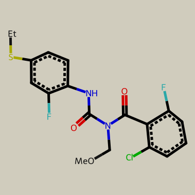 CCSc1ccc(NC(=O)N(COC)C(=O)c2c(F)cccc2Cl)c(F)c1